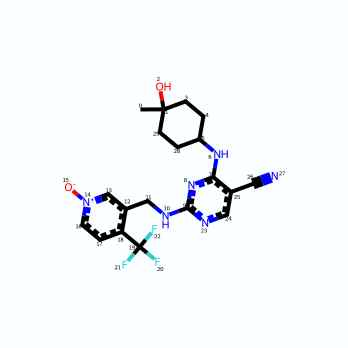 CC1(O)CCC(Nc2nc(NCc3c[n+]([O-])ccc3C(F)(F)F)ncc2C#N)CC1